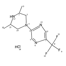 CC1CN(c2cnc(C(F)(F)F)cn2)CC(C)N1.Cl